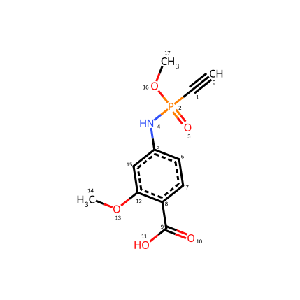 C#CP(=O)(Nc1ccc(C(=O)O)c(OC)c1)OC